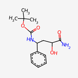 CC(C)(C)OC(=O)NC([CH]C(O)C(N)=O)c1ccccc1